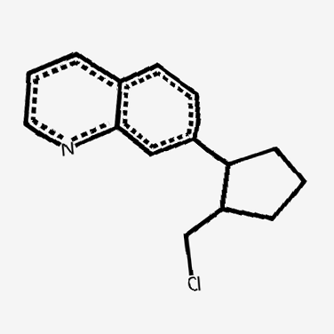 ClCC1CCCC1c1ccc2cccnc2c1